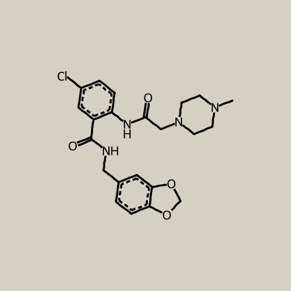 CN1CCN(CC(=O)Nc2ccc(Cl)cc2C(=O)NCc2ccc3c(c2)OCO3)CC1